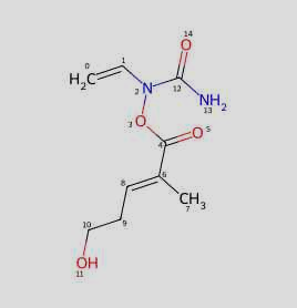 C=CN(OC(=O)C(C)=CCCO)C(N)=O